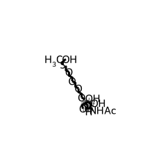 CC(=O)N[C@H]1[C@H]2OC[C@](COCCOCCOCCOCCSC(C)O)(O2)[C@H](O)[C@@H]1O